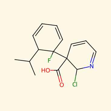 CC(C)C1C=CC=CC1(F)C1(C(=O)O)C=CC=NC1Cl